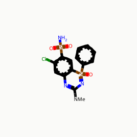 CNC1=Nc2cc(Cl)c(S(N)(=O)=O)cc2S(=O)(c2ccccc2)=N1